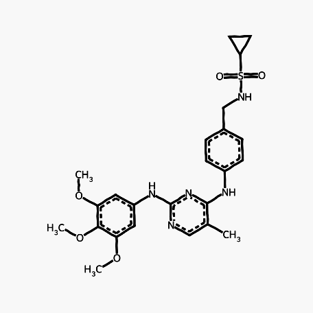 COc1cc(Nc2ncc(C)c(Nc3ccc(CNS(=O)(=O)C4CC4)cc3)n2)cc(OC)c1OC